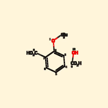 CC(C)(C)Oc1ccccc1C(=O)O.O=C(O)O